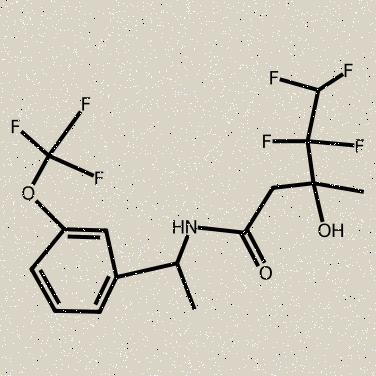 CC(NC(=O)CC(C)(O)C(F)(F)C(F)F)c1cccc(OC(F)(F)F)c1